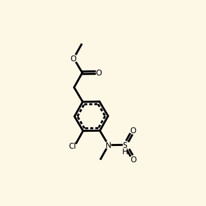 COC(=O)Cc1ccc(N(C)[SH](=O)=O)c(Cl)c1